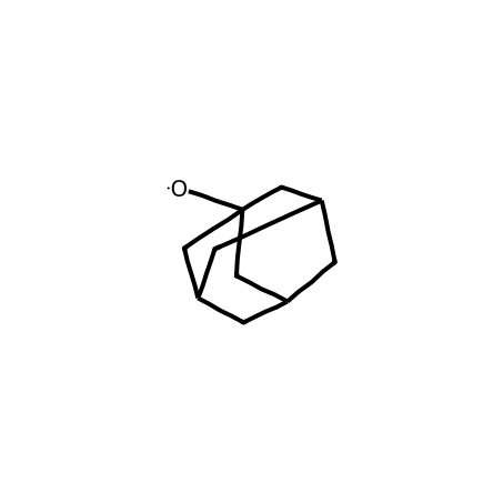 [O]C12CC3CC(CC(C3)C1)C2